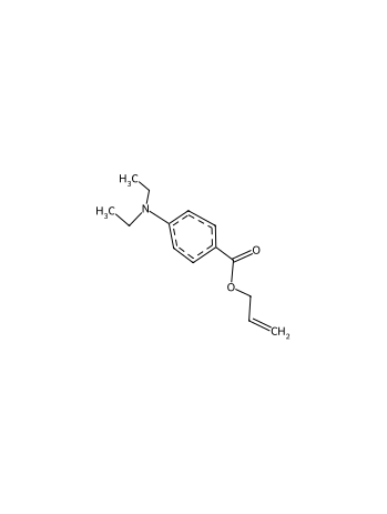 C=CCOC(=O)c1ccc(N(CC)CC)cc1